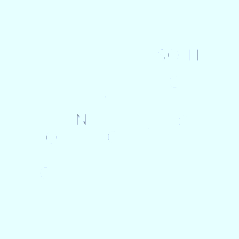 O=C(c1c(Cl)cccc1Cl)N1CCC(CCCS(=O)(=O)O)(c2ccc(Cl)c(Cl)c2)C1